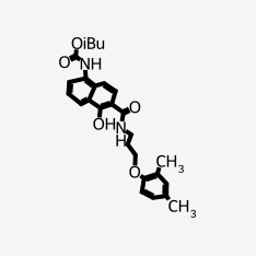 Cc1ccc(OCCCNC(=O)c2ccc3c(NC(=O)OCC(C)C)cccc3c2O)c(C)c1